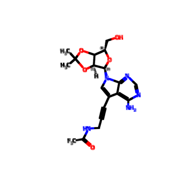 CC1(C)OC2[C@@H](CO)O[C@@H](n3cc(C#CCNC(=O)C(F)(F)F)c4c(N)ncnc43)[C@H]2O1